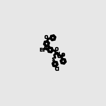 CCn1c2ccc(C(=O)/C(CCSc3ccc(Cl)cc3)=N/OS(=O)c3ccccc3)cc2c2cc(C(=O)c3ccccc3)ccc21